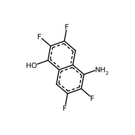 Nc1c(F)c(F)cc2c(O)c(F)c(F)cc12